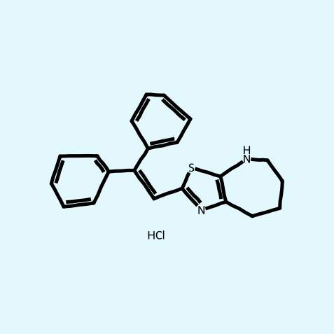 C(=C(c1ccccc1)c1ccccc1)c1nc2c(s1)NCCCC2.Cl